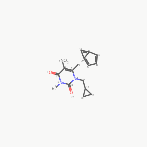 CCn1c(=O)c([N+](=O)[O-])c(C)n(CC2CC2)c1=O.c1cc2cc-2c1